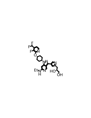 CCNc1cc2c(cn1)c(-c1cnn(C[C@@H](O)CO)c1)nn2[C@H]1CC[C@@H](Oc2nccc(C(F)F)c2F)CC1